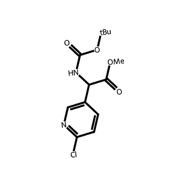 COC(=O)C(NC(=O)OC(C)(C)C)c1ccc(Cl)nc1